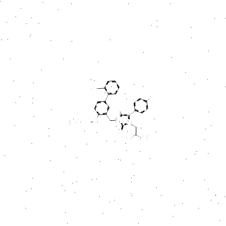 O=C(O)Oc1ccc(-c2ccccc2Cl)cc1Cn1nc(-c2ccc(Cl)cc2)n(CC(O)C(F)(F)F)c1=O